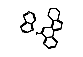 Fc1cc2c3c(ccc2c2ccccc12)CCCC3.c1ccc2cnccc2c1